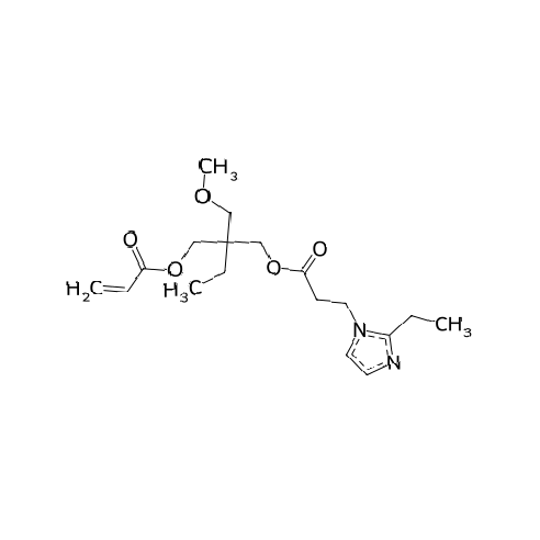 C=CC(=O)OCC(CC)(COC)COC(=O)CCn1ccnc1CC